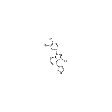 CC(C)c1nn(-c2ccc(C#N)c(Br)c2)c2nccc(-n3ccnc3)c12